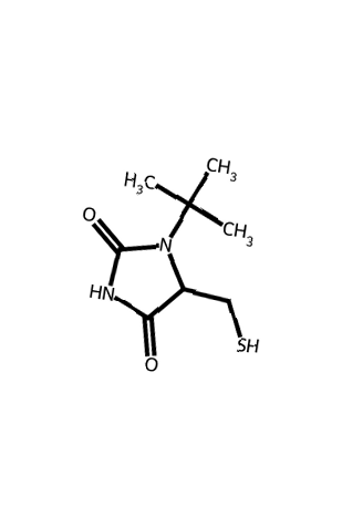 CC(C)(C)N1C(=O)NC(=O)C1CS